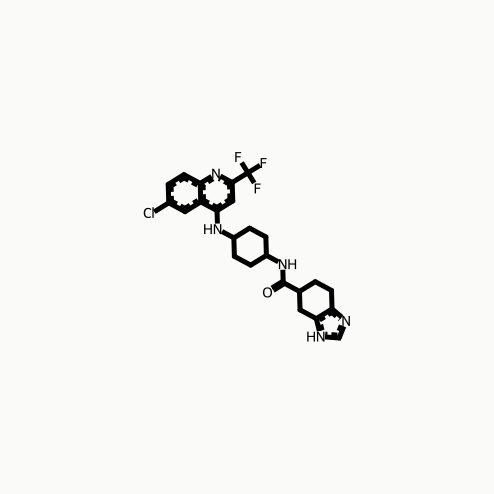 O=C(NC1CCC(Nc2cc(C(F)(F)F)nc3ccc(Cl)cc23)CC1)C1CCc2nc[nH]c2C1